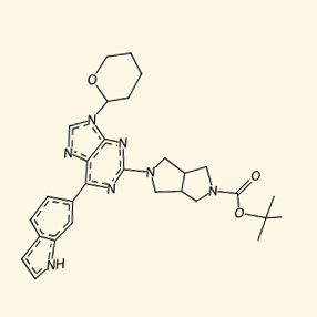 CC(C)(C)OC(=O)N1CC2CN(c3nc(-c4ccc5cc[nH]c5c4)c4ncn(C5CCCCO5)c4n3)CC2C1